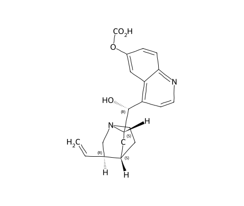 C=C[C@H]1CN2CC[C@H]1C[C@H]2[C@H](O)c1ccnc2ccc(OC(=O)O)cc12